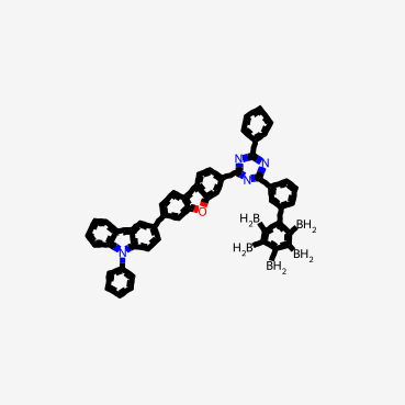 Bc1c(B)c(B)c(-c2cccc(-c3nc(-c4ccccc4)nc(-c4ccc5c(c4)oc4cc(-c6ccc7c(c6)c6ccccc6n7-c6ccccc6)ccc45)n3)c2)c(B)c1B